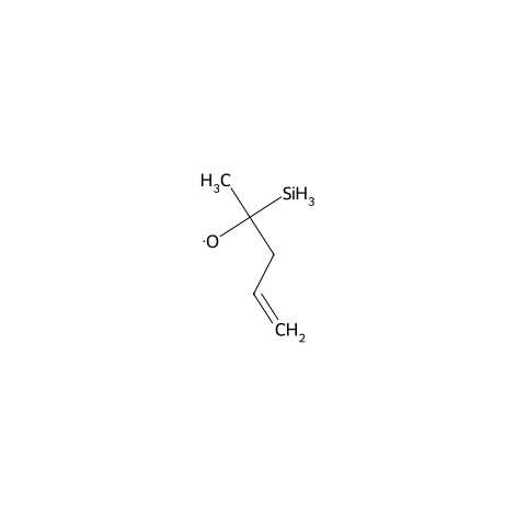 C=CCC(C)([O])[SiH3]